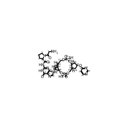 NCC(=O)N1CCC[C@@H]1C(=O)Nc1nc2c(ncn2[C@@H]2O[C@@H]3CO[P@@](=O)(S)O[C@H]4C[C@H](Oc5ccncn5)C[C@@H]4CO[P@@](=O)(S)O[C@@H]2[C@@H]3O)c(=O)[nH]1